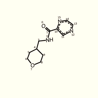 O=C(NCC1CCOCC1)c1cnccn1